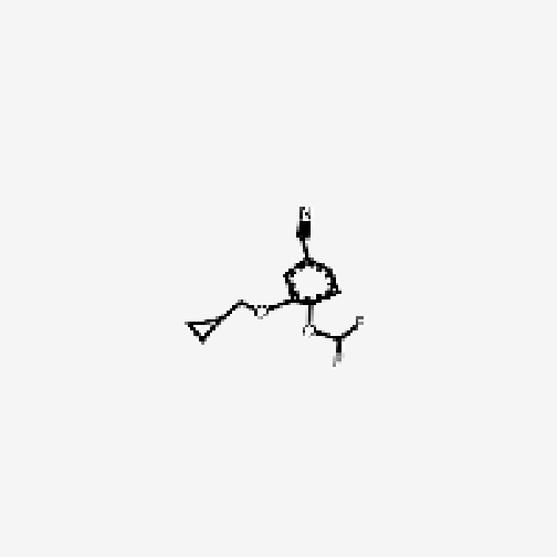 N#Cc1ccc(OC(F)F)c(OCC2CC2)c1